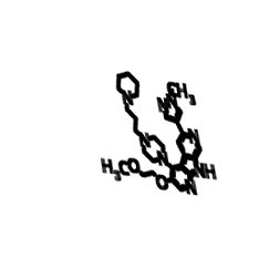 COCCOc1cnc2[nH]c3cnc(-c4cnn(C)c4)cc3c2c1N1CCN(CCCN2CCCCC2)CC1